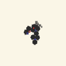 CC1(C)c2ccccc2-c2c(N(c3ccc(-c4cccc5c4oc4ncccc45)cc3)c3ccc(-c4cccc5c4c4ccccc4n5-c4ccccc4)cc3)cccc21